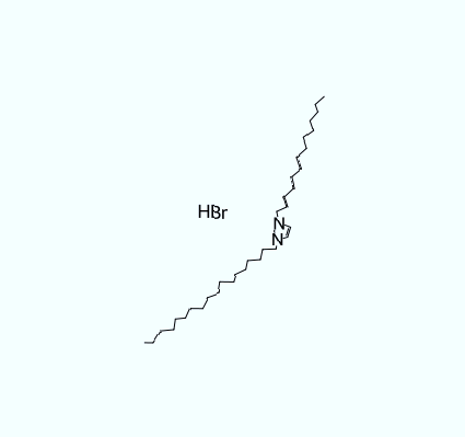 Br.CCCCCCCCCCCCCCCCCCN1C=CN(CCCCCCCCCCCCCC)C1